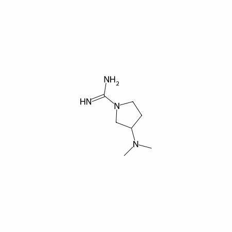 CN(C)C1CCN(C(=N)N)C1